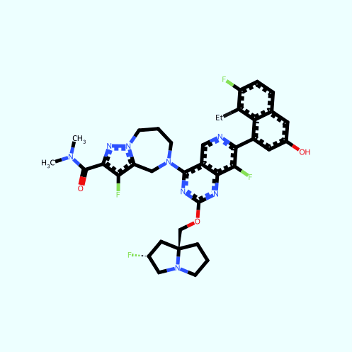 CCc1c(F)ccc2cc(O)cc(-c3ncc4c(N5CCCn6nc(C(=O)N(C)C)c(F)c6C5)nc(OC[C@@]56CCCN5C[C@H](F)C6)nc4c3F)c12